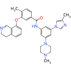 Cc1cn(-c2cc(NC(=O)c3ccc(C)c(Oc4cccc5c4C=NCC5)c3)cc(N3CCN(C)CC3)c2)cn1